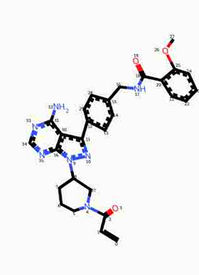 C=CC(=O)N1CCCC(n2nc(-c3ccc(CNC(=O)c4ccccc4OC)cc3)c3c(N)ncnc32)C1